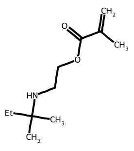 C=C(C)C(=O)OCCNC(C)(C)CC